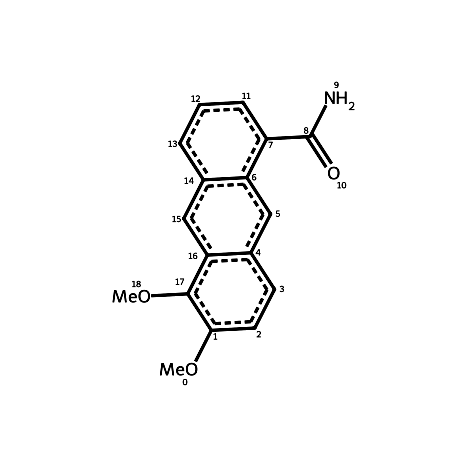 COc1ccc2cc3c(C(N)=O)cccc3cc2c1OC